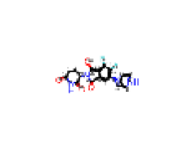 O=C1CCC(N2C(=O)c3cc(N4CC5CC4CN5)c(F)c(F)c3C2=O)C(=O)N1